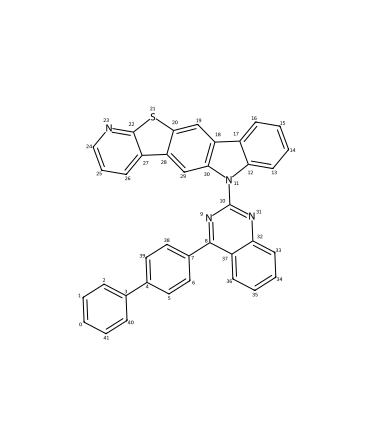 c1ccc(-c2ccc(-c3nc(-n4c5ccccc5c5cc6sc7ncccc7c6cc54)nc4ccccc34)cc2)cc1